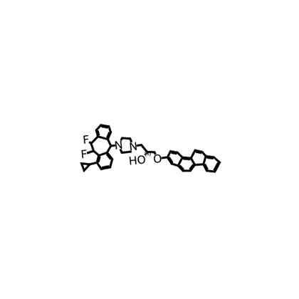 O[C@@H](COc1ccc2c(ccc3c4ccccc4ccc23)c1)CN1CCN(C2c3ccccc3C(F)C(F)c3c(C4CC4)cccc32)CC1